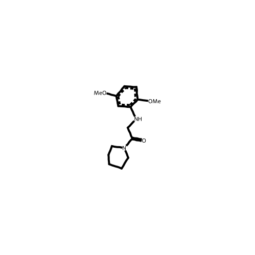 COc1ccc(OC)c(NCC(=O)N2CCCCC2)c1